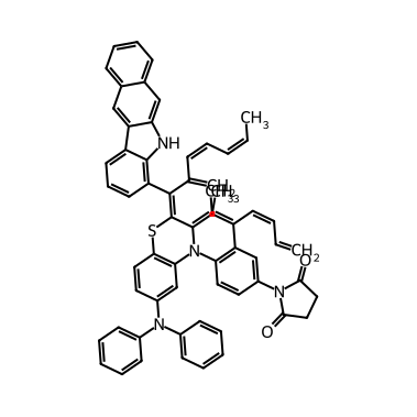 C=C/C=C\C(=C/C)c1cc(N2C(=O)CCC2=O)ccc1N1C(=C/C)/C(=C(\C(=C)/C=C\C=C/C)c2cccc3c2[nH]c2cc4ccccc4cc23)Sc2ccc(N(c3ccccc3)c3ccccc3)cc21